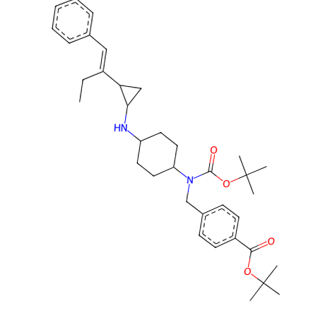 CC/C(=C\c1ccccc1)C1CC1NC1CCC(N(Cc2ccc(C(=O)OC(C)(C)C)cc2)C(=O)OC(C)(C)C)CC1